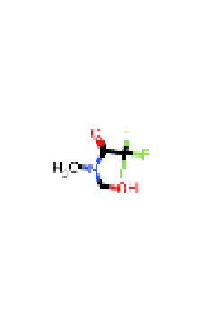 CN(CO)C(=O)C(F)(F)F